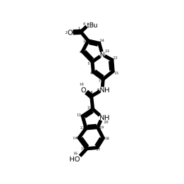 CC(C)(C)C(=O)c1cc2cc(NC(=O)c3cc4cc(O)ccc4[nH]3)ccn2c1